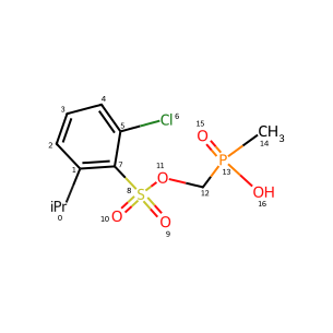 CC(C)c1cccc(Cl)c1S(=O)(=O)OCP(C)(=O)O